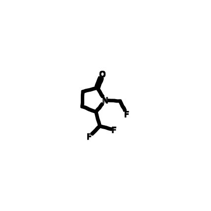 O=C1CCC(C(F)F)N1CF